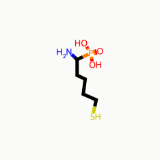 NC(CCCCS)P(=O)(O)O